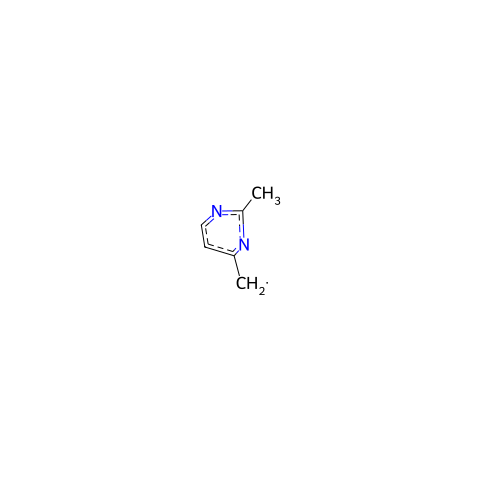 [CH2]c1ccnc(C)n1